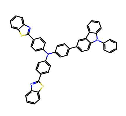 c1ccc(-n2c3ccccc3c3cc(-c4ccc(N(c5ccc(-c6nc7ccccc7s6)cc5)c5ccc(-c6nc7ccccc7s6)cc5)cc4)ccc32)cc1